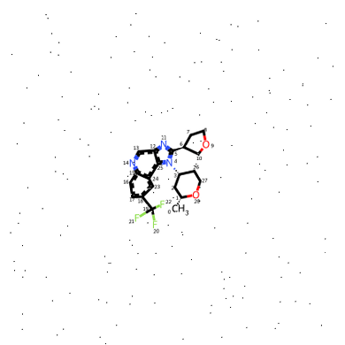 C[C@@H]1C[C@H](n2c([C@H]3CCOC3)nc3cnc4ccc(C(F)(F)F)cc4c32)CCO1